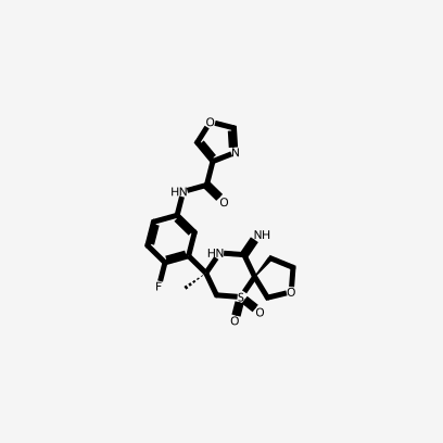 C[C@@]1(c2cc(NC(=O)c3cocn3)ccc2F)CS(=O)(=O)[C@]2(CCOC2)C(=N)N1